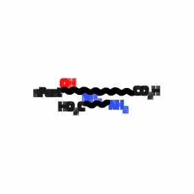 CCCCCC(O)C=CC=CCC=CCC=CCCCC(=O)O.NCCCC[C@H](N)C(=O)O